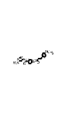 COc1ccc(/C=C/C(=O)NCc2ccc(C(=O)Nc3ccnc(N)c3)cc2)cc1